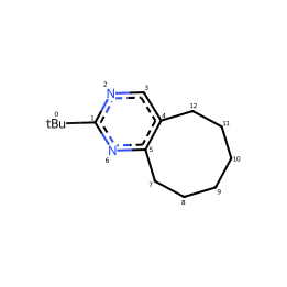 CC(C)(C)c1ncc2c(n1)CCCCCC2